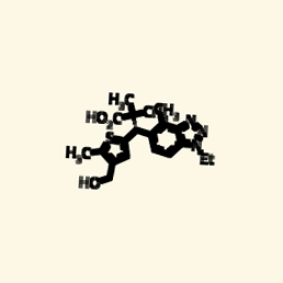 CCn1nnc2c(C)c([C@H](c3cc(CO)c(C)s3)C(C)(C)C(=O)O)ccc21